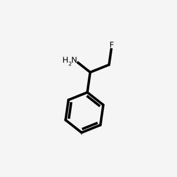 NC(CF)c1cc[c]cc1